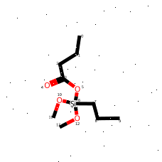 CCCC(=O)O[Si](CCC)(OC)OC